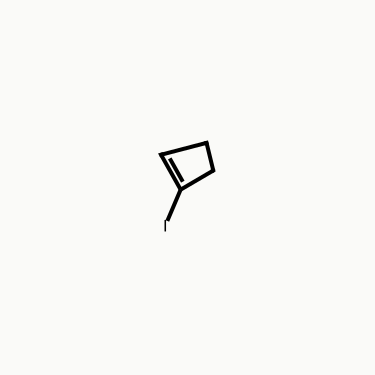 IC1=CCC1